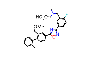 COCc1cc(-c2nc(-c3ccc(F)c(CN(C)CC(=O)O)c3)no2)ccc1-c1ccccc1C